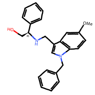 COc1ccc2c(c1)c(CN[C@@H](CO)c1ccccc1)cn2Cc1ccccc1